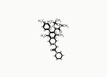 COC(=O)C(OC(C)(C)C)c1c(C)c2c(c(C)c1-c1ccc(C)cc1)CCN(CC(=O)N1CCCCC1)C2